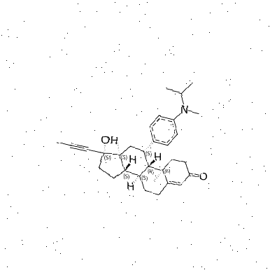 CC#C[C@]1(O)CC[C@H]2[C@@H]3CCC4=CC(=O)CC[C@]4(C)[C@H]3[C@@H](c3ccc(N(C)C(C)C)cc3)C[C@@]21C